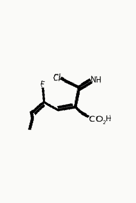 C/C=C(F)\C=C(/C(=N)Cl)C(=O)O